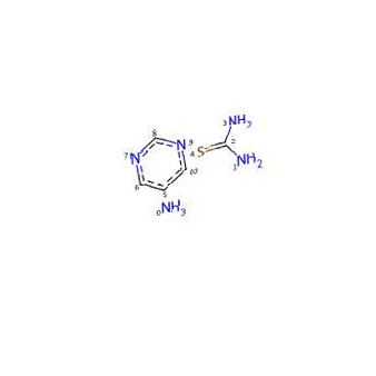 N.NC(N)=S.c1cncnc1